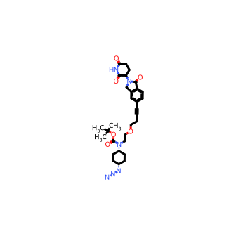 CC(C)(C)OC(=O)N(CCOCCC#Cc1ccc2c(c1)CN(C1CCC(=O)NC1=O)C2=O)[C@H]1CC[C@@H](N=[N+]=[N-])CC1